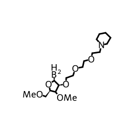 B[C@@H]1O[C@H](COC)C(OC)[C@@H]1OCCOCCOCCN1CCCCC1